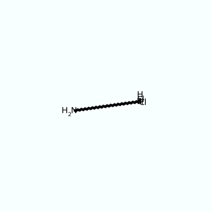 NCCCCCCCCCCCCCCCCCCCCCCCCCCCCCCCCCCC[SiH](Cl)Cl